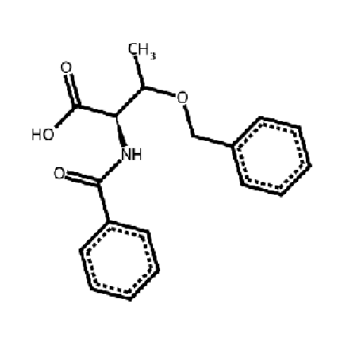 CC(OCc1ccccc1)[C@@H](NC(=O)c1ccccc1)C(=O)O